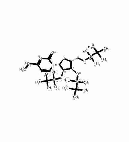 CNc1ccn([C@@H]2O[C@H](CO[Si](C)(C)C(C)(C)C)[C@@H](O[Si](C)(C)C(C)(C)C)[C@H]2O[Si](C)(C)C(C)(C)C)c(=O)n1